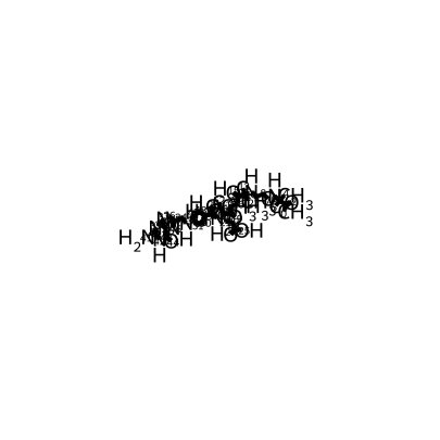 CC(=O)C(C)(C)NOCCNC(C)(C)C(=O)CCC(=O)[C@](CCC(=O)O)(NC(=O)c1ccc(NCc2cnc3nc(N)[nH]c(=O)c3n2)cc1)C(C)(C)C